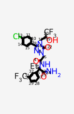 CCC(NC(=O)Cn1nc(-c2ccc(Cl)cc2)n(CC(O)C(F)(F)F)c1=O)(C(N)=O)c1cccc(C(F)(F)F)c1